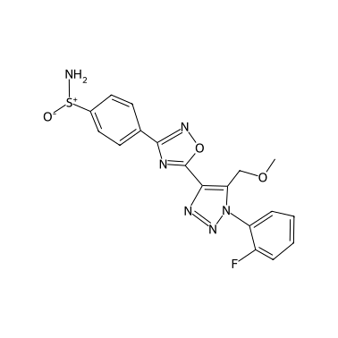 COCc1c(-c2nc(-c3ccc([S+](N)[O-])cc3)no2)nnn1-c1ccccc1F